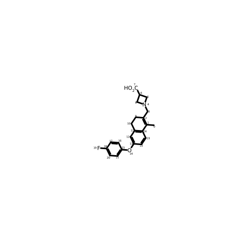 CC1=C(CN2CC(C(=O)O)C2)CCc2cc(Oc3ccc(F)cc3)ccc21